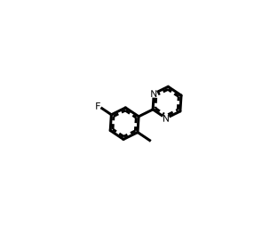 Cc1ccc(F)cc1-c1ncccn1